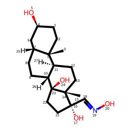 C[C@]12CC[C@H](O)C[C@H]1CC[C@@H]1[C@@H]2CC[C@]2(C)[C@@](O)(/C=N/O)CC[C@]12O